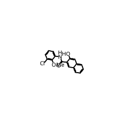 COc1c(Cl)cccc1NC(=O)c1cc2ccccc2cc1O